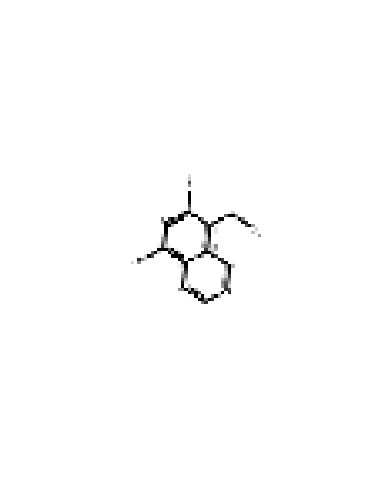 Fc1cc(F)c2ccncc2c1CBr